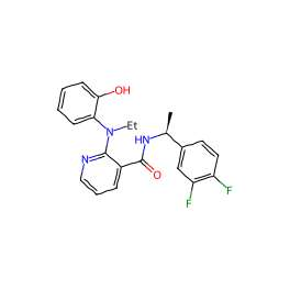 CCN(c1ccccc1O)c1ncccc1C(=O)N[C@@H](C)c1ccc(F)c(F)c1